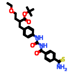 CCOCCC(Cc1ccc(NC(=O)NC(=O)c2ccc(C(N)=S)cc2)cc1)C(=O)OC(C)(C)C